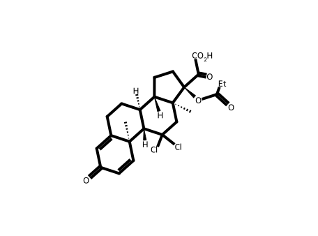 CCC(=O)O[C@]1(C(=O)C(=O)O)CC[C@H]2[C@@H]3CCC4=CC(=O)C=C[C@]4(C)[C@H]3C(Cl)(Cl)C[C@@]21C